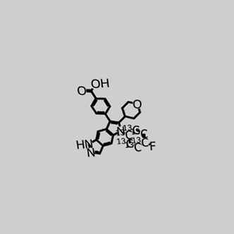 O=C(O)c1ccc(-c2c(C3CCOCC3)n(-[13c]3[13cH][13cH][13c](F)[13cH][13cH]3)c3cc4cn[nH]c4cc23)cc1